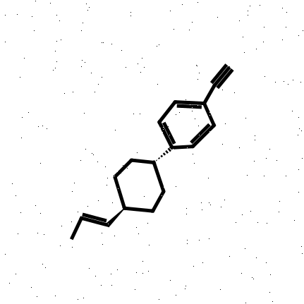 C#Cc1ccc([C@H]2CC[C@H](C=CC)CC2)cc1